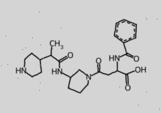 CC(C(=O)NC1CCCN(C(=O)CC(NC(=O)c2ccccc2)C(=O)O)C1)C1CCNCC1